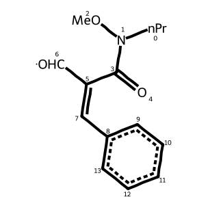 CCCN(OC)C(=O)C([C]=O)=Cc1ccccc1